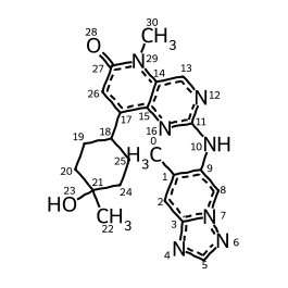 Cc1cc2ncnn2cc1Nc1ncc2c(n1)c(C1CCC(C)(O)CC1)cc(=O)n2C